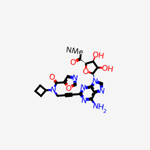 CNC(=O)[C@H]1O[C@@H](n2cnc3c(N)nc(C#CCN(C(=O)c4cnco4)C4CCC4)nc32)C(O)[C@@H]1O